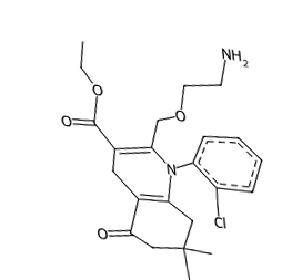 CCOC(=O)C1=C(COCCN)N(c2ccccc2Cl)C2=C(C1)C(=O)CC(C)(C)C2